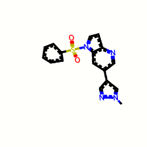 Cn1cc(-c2cnc3ccn(S(=O)(=O)c4ccccc4)c3c2)cn1